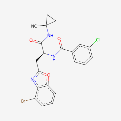 N#CC1(NC(=O)[C@H](Cc2nc3c(Br)cccc3o2)NC(=O)c2cccc(Cl)c2)CC1